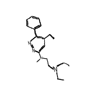 CCc1cc(N(C)CCN(CC)CC)nnc1-c1ccccc1